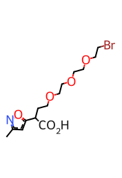 Cc1cc(C(CCOCCOCCOCCBr)C(=O)O)on1